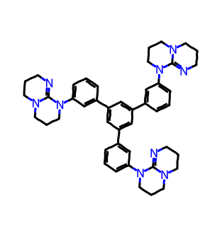 c1cc(-c2cc(-c3cccc(N4CCCN5CCCN=C54)c3)cc(-c3cccc(N4CCCN5CCCN=C54)c3)c2)cc(N2CCCN3CCCN=C32)c1